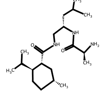 CC(C)C[C@@H](CNC(=O)[C@@H]1C[C@H](C)CC[C@H]1C(C)C)NC(=O)[C@H](C)N